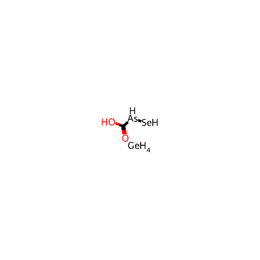 O=C(O)[AsH][SeH].[GeH4]